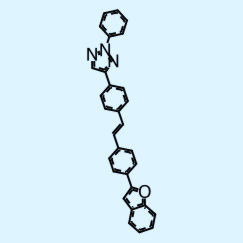 C(=C\c1ccc(-c2cc3ccccc3o2)cc1)/c1ccc(-c2cnn(-c3ccccc3)n2)cc1